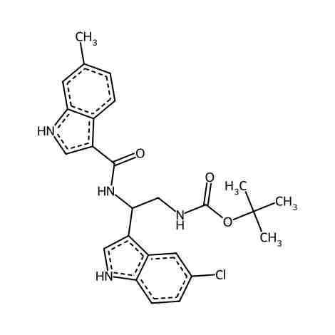 Cc1ccc2c(C(=O)NC(CNC(=O)OC(C)(C)C)c3c[nH]c4ccc(Cl)cc34)c[nH]c2c1